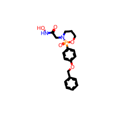 O=C(CN1CCCOP1(=O)c1ccc(OCc2ccccc2)cc1)NO